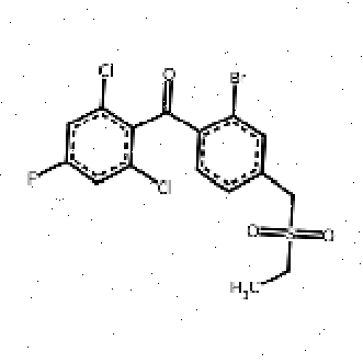 CCS(=O)(=O)Cc1ccc(C(=O)c2c(Cl)cc(F)cc2Cl)c(Br)c1